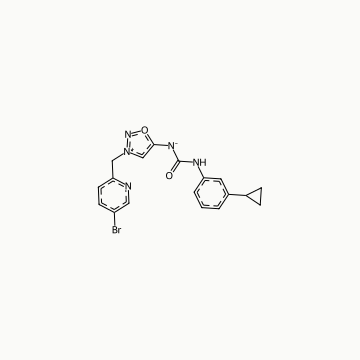 O=C([N-]c1c[n+](Cc2ccc(Br)cn2)no1)Nc1cccc(C2CC2)c1